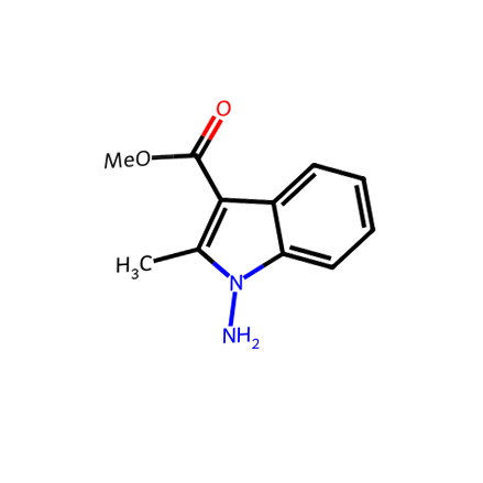 COC(=O)c1c(C)n(N)c2ccccc12